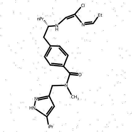 CC/C=N\C(Cl)=C/N[C@@H](CCC)Cc1ccc(C(=O)N(C)Cc2cc(C(C)C)[nH]n2)cc1